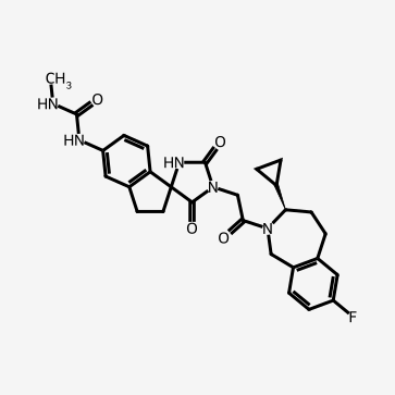 CNC(=O)Nc1ccc2c(c1)CCC21NC(=O)N(CC(=O)N2Cc3ccc(F)cc3CC[C@@H]2C2CC2)C1=O